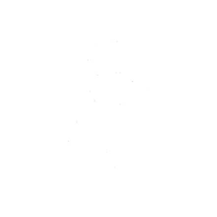 CC(=O)OC(/C=C/c1ccc2ccccc2c1)OC(C)=O